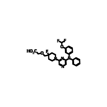 O=C(O)COCC1(F)CCN(c2cncc(N(c3ccccc3)c3cccc(OC(F)F)c3)n2)CC1